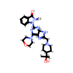 CCn1c(=O)c2ccccc2n1-c1nc(N2CCOCC2)c2nc(CN3CCC(C(C)(C)O)CC3)[nH]c2n1